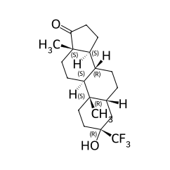 C[C@]12CC[C@](O)(C(F)(F)F)C[C@H]1CC[C@@H]1[C@@H]2CC[C@]2(C)C(=O)CC[C@@H]12